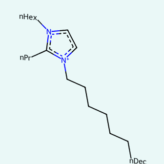 CCCCCCCCCCCCCCCC[n+]1ccn(CCCCCC)c1CCC